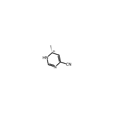 C[C@@H]1C=C(C#N)N=CN1